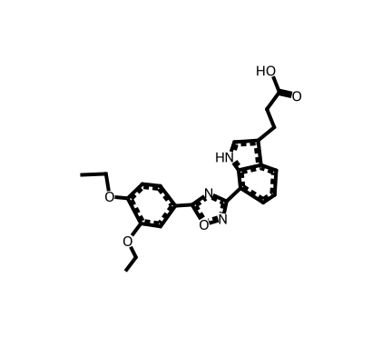 CCOc1ccc(-c2nc(-c3cccc4c(CCC(=O)O)c[nH]c34)no2)cc1OCC